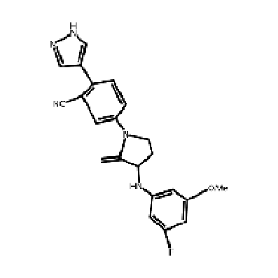 C=C1C(Nc2cc(F)cc(OC)c2)CCN1c1ccc(-c2cn[nH]c2)c(C#N)c1